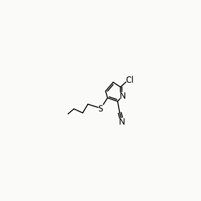 CCCCSc1ccc(Cl)nc1C#N